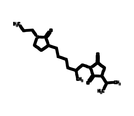 CCCN1CCC(CCCCC(C)CN2C(=O)CC(C(C)C)C2=O)C1=O